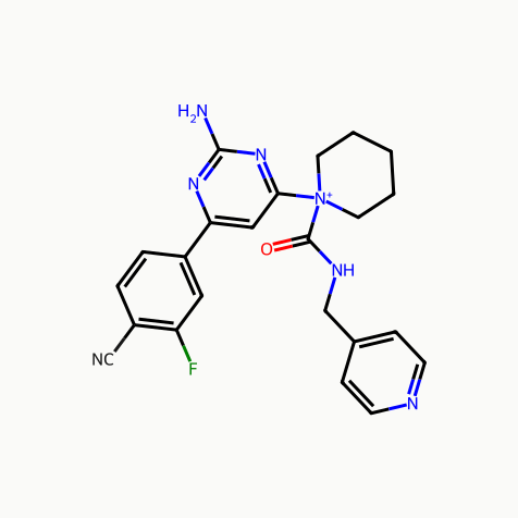 N#Cc1ccc(-c2cc([N+]3(C(=O)NCc4ccncc4)CCCCC3)nc(N)n2)cc1F